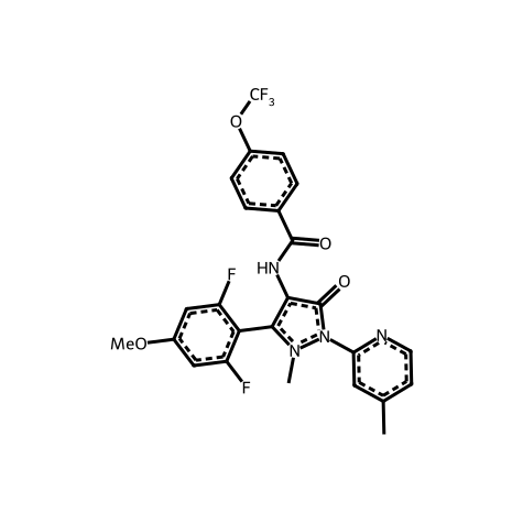 COc1cc(F)c(-c2c(NC(=O)c3ccc(OC(F)(F)F)cc3)c(=O)n(-c3cc(C)ccn3)n2C)c(F)c1